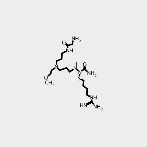 COCCN(CCCNC(=O)CN)CCCNN(SCCCCNC(=N)N)C(N)=O